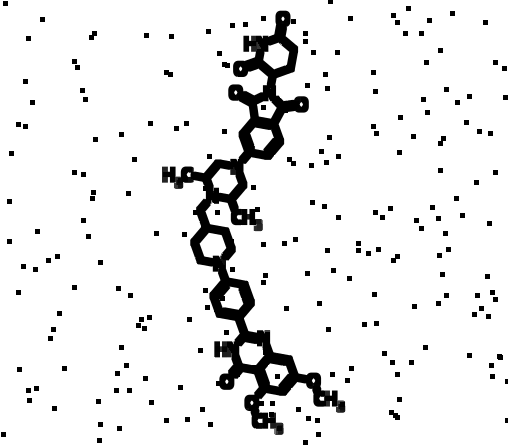 COc1cc(OC)c2c(=O)[nH]c(-c3ccc(N4CCC(CN5C(C)CN(c6ccc7c(c6)C(=O)N(C6CCC(=O)NC6=O)C7=O)CC5C)CC4)cc3)nc2c1